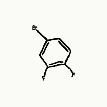 CCc1ccc(F)c(F)c1